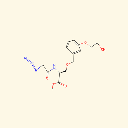 COC(=O)[C@H](COCc1cccc(OCCO)c1)NC(=O)CN=[N+]=[N-]